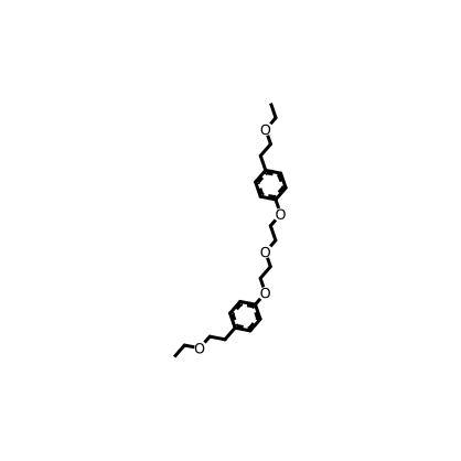 CCOCCc1ccc(OCCOCCOc2ccc(CCOCC)cc2)cc1